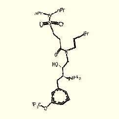 CCCN(CCC)S(=O)(=O)CCC(=O)N(CCC(C)C)C[C@@H](O)[C@@H](N)Cc1cccc(OC(F)(F)F)c1